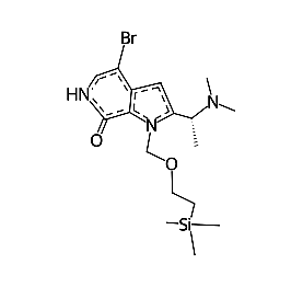 C[C@H](c1cc2c(Br)c[nH]c(=O)c2n1COCC[Si](C)(C)C)N(C)C